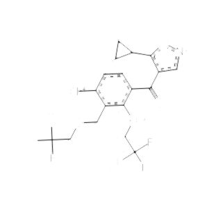 O=C(c1cnoc1C1CC1)c1ccc(Cl)c(COCC(F)(F)F)c1OCC(F)(F)F